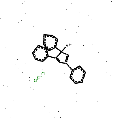 [Cl-].[Cl-].[Cl-].[V+3][C]1(c2ccccc2)C=C(c2ccccc2)C=C1c1ccccc1